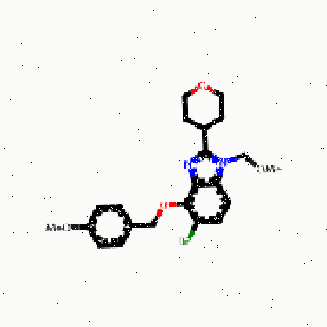 COCn1c(C2CCOCC2)nc2c(OCc3ccc(OC)cc3)c(Br)ccc21